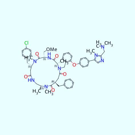 COC[C@@H]1NC(=O)[C@H](C)N(Cc2ccccc2Oc2ccc(-c3cnc(CN(C)C)n3C)cc2)C(=O)C[C@@H](Cc2ccccc2)C(=O)N(C)[C@@H](C)CNC(=O)C[C@H](Cc2ccc(Cl)cc2)N(C)C1=O